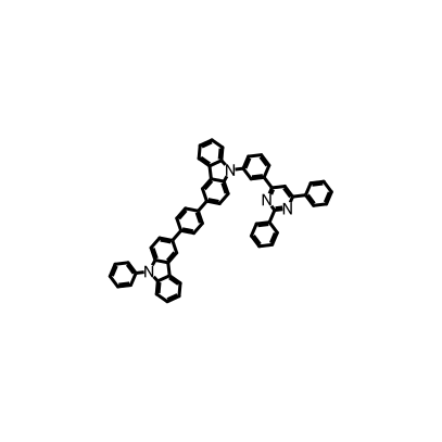 c1ccc(-c2cc(-c3cccc(-n4c5ccccc5c5cc(-c6ccc(-c7ccc8c(c7)c7ccccc7n8-c7ccccc7)cc6)ccc54)c3)nc(-c3ccccc3)n2)cc1